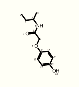 CCC(C)NC(=O)COc1ccc(O)cc1